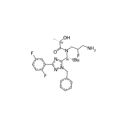 C[C@H](O)C(=O)N(CC(F)CN)[C@@H](c1nc(-c2cc(F)ccc2F)nn1Cc1ccccc1)C(C)(C)C